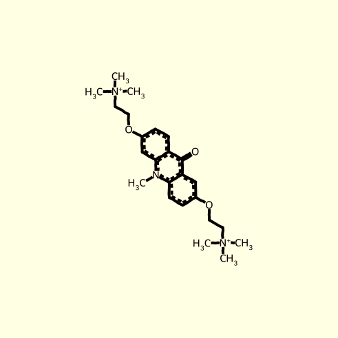 Cn1c2ccc(OCC[N+](C)(C)C)cc2c(=O)c2ccc(OCC[N+](C)(C)C)cc21